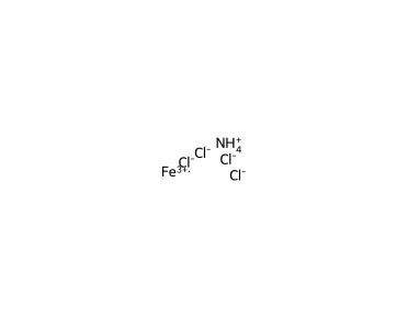 [Cl-].[Cl-].[Cl-].[Cl-].[Fe+3].[NH4+]